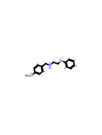 COc1ccc(CNCC[Se]c2ccccc2)cc1